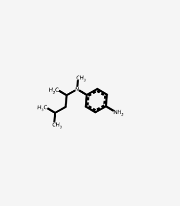 CC(C)CC(C)N(C)c1ccc(N)cc1